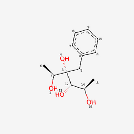 C[C@H](O)[C@@](O)(Cc1ccccc1)[C@@H](O)[C@@H](C)O